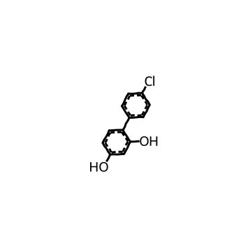 Oc1ccc(-c2ccc(Cl)cc2)c(O)c1